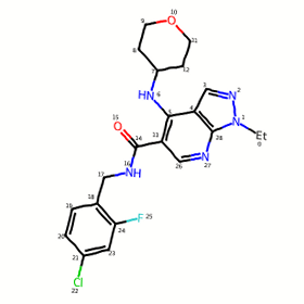 CCn1ncc2c(NC3CCOCC3)c(C(=O)NCc3ccc(Cl)cc3F)cnc21